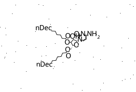 CCCCCCCCCCCCCCCC(=O)OC[C@H]1O[C@@H](n2ccc(N)nc2=O)[C@@H](O)[C@@H]1OC(=O)CCCCCCCCCCCCCCC